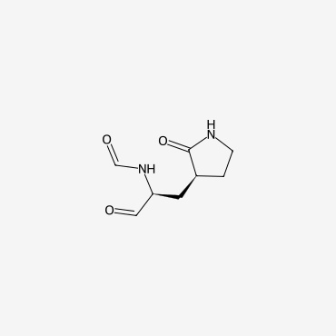 O=CN[C@H](C=O)C[C@@H]1CCNC1=O